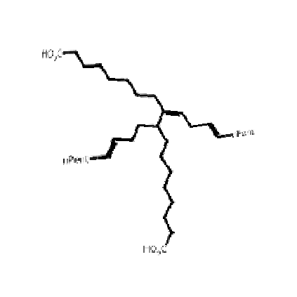 CCCCCC=CCC=C(CCCCCCCC(=O)O)C(CCC=CCCCCC)CCCCCCCC(=O)O